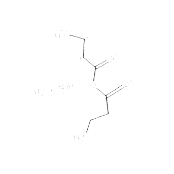 CCCC(=O)OC(=O)CCC.[CaH2].[NaH]